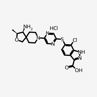 C[C@@H]1OCC2(CCN(c3cnc(Sc4ccc5c(C(=O)O)n[nH]c5c4Cl)cn3)CC2)[C@@H]1N.Cl